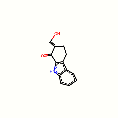 O=C1C(=CO)CCc2c1[nH]c1ccccc21